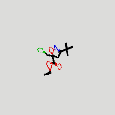 CCOC(=O)C1(CCl)CC(C(C)(C)C)=NO1